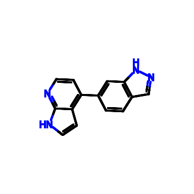 c1cc(-c2ccc3cn[nH]c3c2)c2cc[nH]c2n1